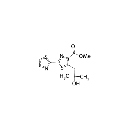 COC(=O)c1nc(-c2nccs2)sc1CC(C)(C)O